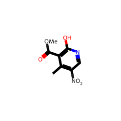 COC(=O)c1c(O)ncc([N+](=O)[O-])c1C